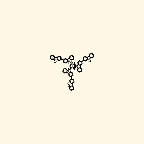 c1ccc2c(c1)sc1cc(-c3ccc4c(c3)c3ccccc3n4-c3cc(-n4c5ccccc5c5cc(-c6ccc7c(c6)sc6ccccc67)ccc54)nc(-n4c5ccccc5c5cc(-c6ccc7c(c6)sc6ccccc67)ccc54)n3)ccc12